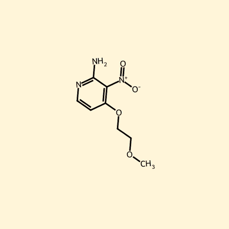 COCCOc1ccnc(N)c1[N+](=O)[O-]